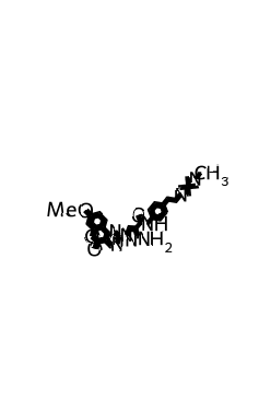 COc1ccc2c(c1)oc(=O)c1cnc(-n3cc(C(=O)Nc4ccc(CCN5CC6(CN(C)C6)C5)cc4)c(N)n3)nc12